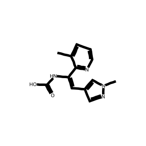 Cc1cccnc1C(=Cc1cnn(C)c1)NC(=O)O